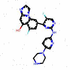 Oc1cc2nccn2c2cc(-c3nc(Nc4ccc(N5CCNCC5)cn4)ncc3F)cc(F)c12